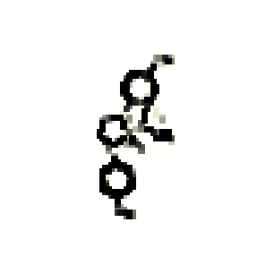 CN(C)[P@@]1(=O)[C@@H](c2ccc(C(C)(C)C)cc2)CC[C@H]1c1ccc(C(C)(C)C)cc1